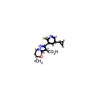 C[C@@H]1CCn2nc(-c3cc(C4CC4)cnc3F)c(C(=O)O)c2O1